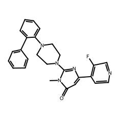 Cn1c(N2CCN(c3ccccc3-c3ccccc3)CC2)nc(-c2ccncc2F)cc1=O